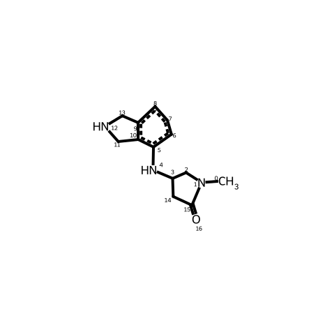 CN1CC(Nc2cccc3c2CNC3)CC1=O